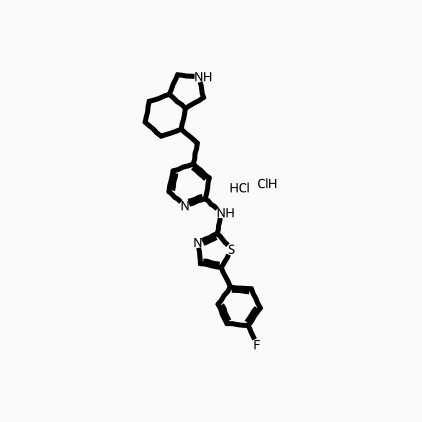 Cl.Cl.Fc1ccc(-c2cnc(Nc3cc(CC4CCCC5CNCC54)ccn3)s2)cc1